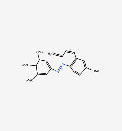 C=C/C=C\c1cc(OC)ccc1/N=N/C1=CC(OC)C(OC)C(OC)=C1